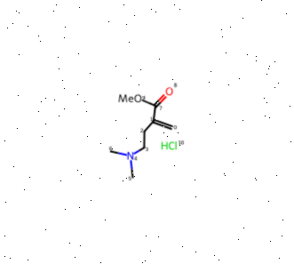 C=C(CCN(C)C)C(=O)OC.Cl